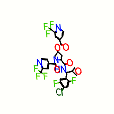 O=C(OC1CC(C(=O)N[C@@H](c2cc(F)c(Cl)cc2F)C2COC2)N(C(=O)c2ccnc(C(F)(F)F)c2)C1)c1ccnc(C(F)(F)F)c1